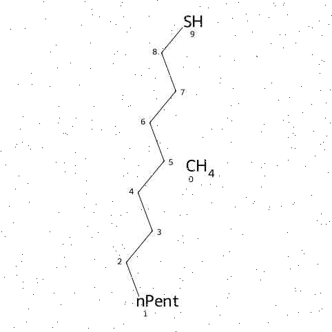 C.CCCCCCCCCCCCS